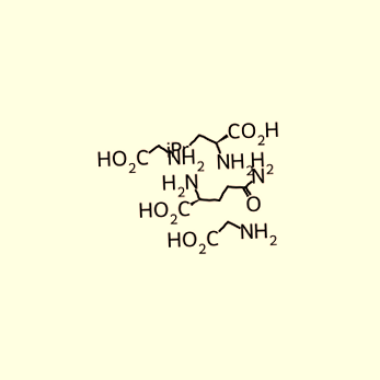 CC(C)C[C@H](N)C(=O)O.NC(=O)CC[C@H](N)C(=O)O.NCC(=O)O.NCC(=O)O